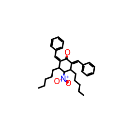 CCCCCC1/C(=C/c2ccccc2)C(=O)/C(=C/c2ccccc2)C(CCCCC)C1[N+](=O)[O-]